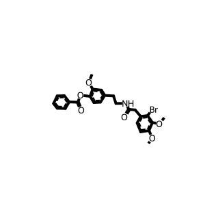 COc1cc(CCNC(=O)Cc2ccc(OC)c(OC)c2Br)ccc1OC(=O)c1ccccc1